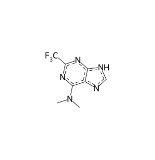 CN(C)c1nc(C(F)(F)F)nc2[nH]cnc12